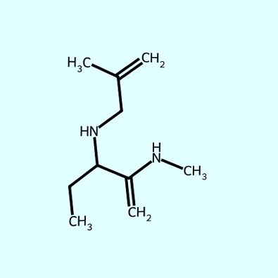 C=C(C)CNC(CC)C(=C)NC